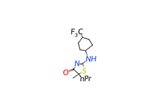 CCC[C@]1(C)SC(NC2CCC(C(F)(F)F)CC2)=NC1=O